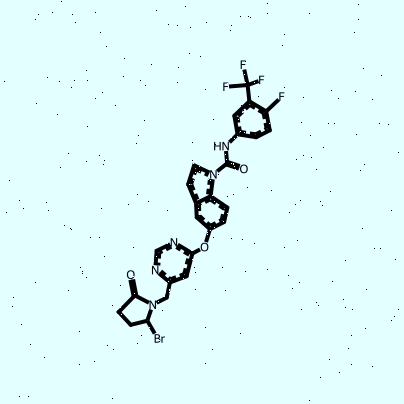 O=C1CCC(Br)N1Cc1cc(Oc2ccc3c(ccn3C(=O)Nc3ccc(F)c(C(F)(F)F)c3)c2)ncn1